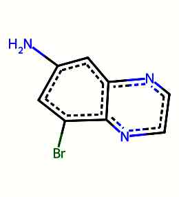 Nc1cc(Br)c2nccnc2c1